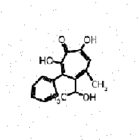 Cc1cc(O)c(=O)c(O)c(-c2ccccc2)c1C(C)O